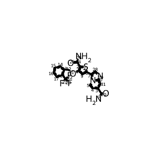 NC(=O)c1ccn2c(-c3cc(OCc4ccccc4C(F)(F)F)c(C(N)=O)s3)cnc2c1